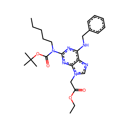 CCCCCN(C(=O)OC(C)(C)C)c1nc(NCc2ccccc2)c2ncn(CC(=O)OCC)c2n1